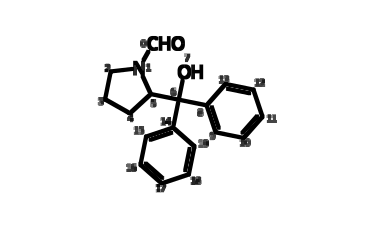 O=CN1CCCC1C(O)(c1ccccc1)c1ccccc1